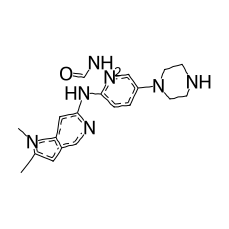 Cc1cc2cnc(Nc3ccc(N4CCNCC4)cn3)cc2n1C.NC=O